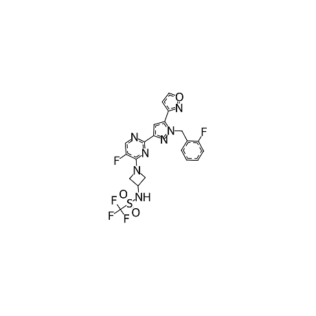 O=S(=O)(NC1CN(c2nc(-c3cc(-c4ccon4)n(Cc4ccccc4F)n3)ncc2F)C1)C(F)(F)F